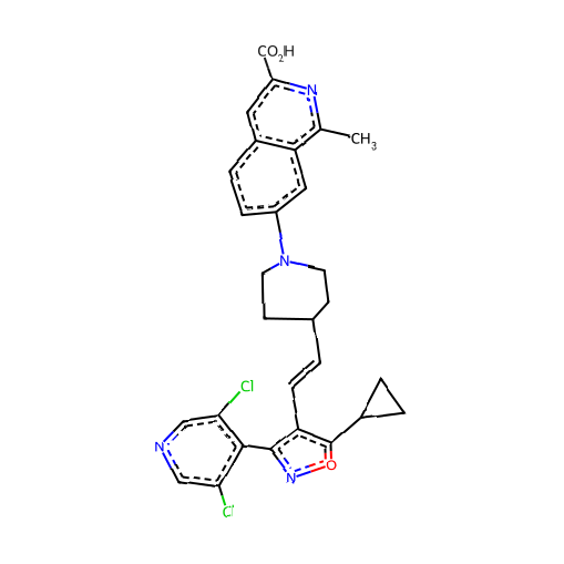 Cc1nc(C(=O)O)cc2ccc(N3CCC(/C=C/c4c(-c5c(Cl)cncc5Cl)noc4C4CC4)CC3)cc12